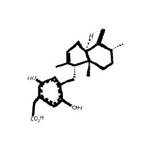 C=C1[C@H](C)CC[C@]2(C)[C@H](Cc3cc(O)c(CC(=O)O)cc3O)C(C)=CC[C@@H]12